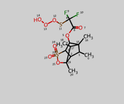 CC1C2C3C(OC(=O)C(F)(F)SOOO)C1(C)C(C)C2(C)OS3(=O)=O